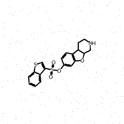 O=S(=O)(Oc1ccc2c(c1)OC1CNCCC21)c1csc2ccccc12